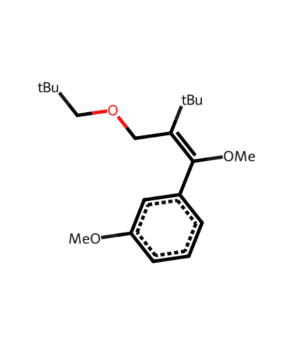 COC(=C(COCC(C)(C)C)C(C)(C)C)c1cccc(OC)c1